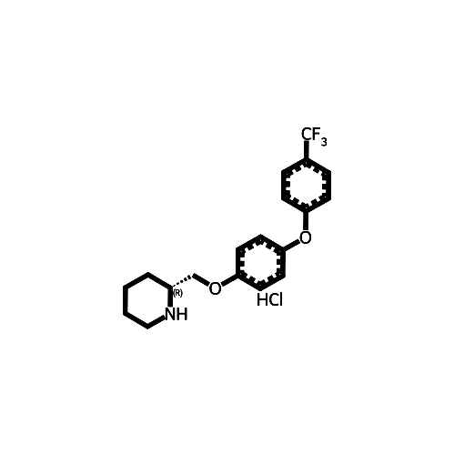 Cl.FC(F)(F)c1ccc(Oc2ccc(OC[C@H]3CCCCN3)cc2)cc1